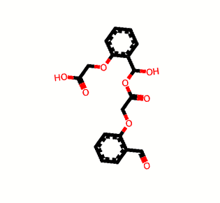 O=Cc1ccccc1OCC(=O)OC(O)c1ccccc1OCC(=O)O